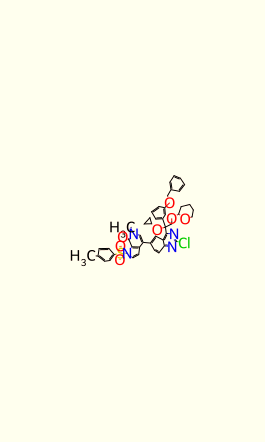 Cc1ccc(S(=O)(=O)n2ccc3c(-c4ccc5nc(Cl)nc(C(COC6CCCCO6)(OC6CC6)c6cccc(OCc7ccccc7)c6)c5c4)cn(C)c(=O)c32)cc1